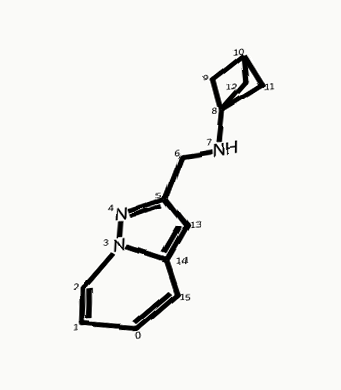 c1ccn2nc(CNC34CC(C3)C4)cc2c1